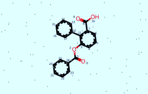 O=C(Oc1cccc(C(=O)O)c1-c1ccccc1)c1ccccc1